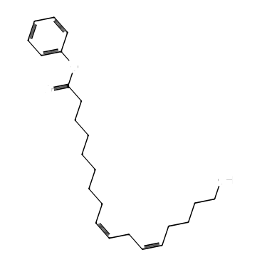 CCCCC/C=C\C/C=C\CCCCCCCC(=O)Oc1ccccc1